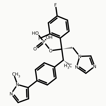 C[C@H](c1ccc(-c2ccnn2C)cc1)[C@@](Cn1cncn1)(OP(=O)(O)O)c1ccc(F)cc1F